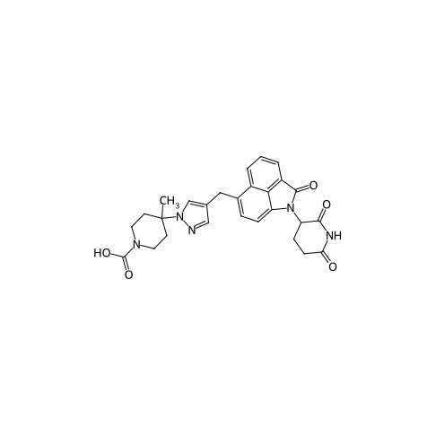 CC1(n2cc(Cc3ccc4c5c(cccc35)C(=O)N4C3CCC(=O)NC3=O)cn2)CCN(C(=O)O)CC1